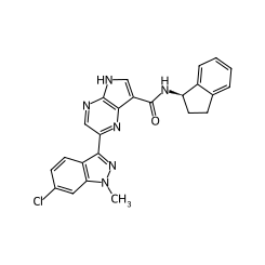 Cn1nc(-c2cnc3[nH]cc(C(=O)N[C@@H]4CCc5ccccc54)c3n2)c2ccc(Cl)cc21